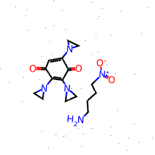 NCCCC[N+](=O)[O-].O=C1C=C(N2CC2)C(=O)C(N2CC2)=C1N1CC1